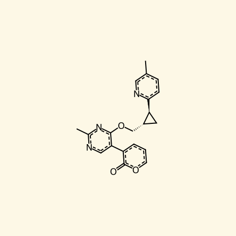 Cc1ccc([C@H]2C[C@@H]2COc2nc(C)ncc2-c2cccoc2=O)nc1